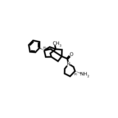 CC12CC3CC(C(=O)N4CCC[C@@H](N)C4)(C1)C[C@@](c1ccccc1)(C3)C2